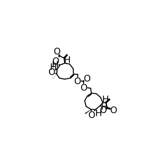 C=C1C(=O)O[C@H]2[C@H]1CC/C(COC(=O)OC/C1=C/CC[C@@]3(C)O[C@H]3[C@H]3OC(=O)C(=C)[C@@H]3CC1)=C\CC[C@@]1(C)O[C@@H]21